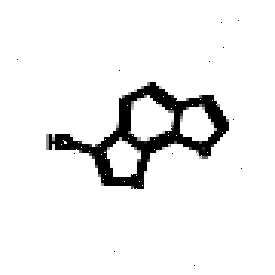 Oc1coc2c1ccc1ccoc12